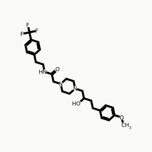 COc1ccc(CCC(O)CN2CCN(CC(=O)NCCc3ccc(C(F)(F)F)cc3)CC2)cc1